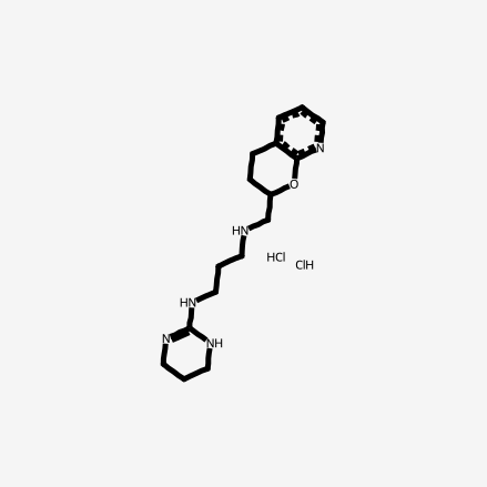 Cl.Cl.c1cnc2c(c1)CCC(CNCCCNC1=NCCCN1)O2